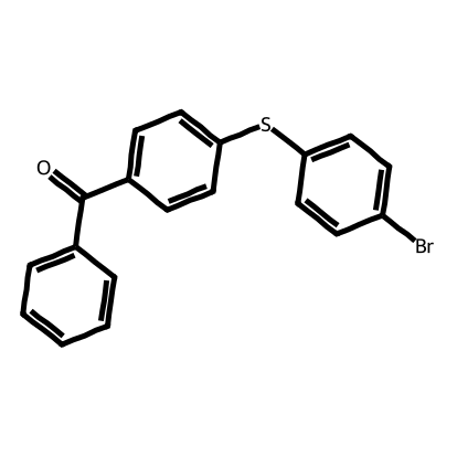 O=C(c1ccccc1)c1ccc(Sc2ccc(Br)cc2)cc1